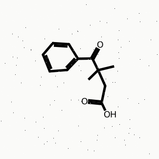 CC(C)(CC(=O)O)C(=O)c1ccccc1